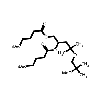 CCCCCCCCCCCCCC(=O)OCC(CC(C)(C)OCC(C)(C)OC)OC(=O)CCCCCCCCCCCCC